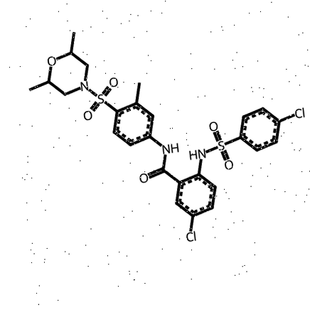 Cc1cc(NC(=O)c2cc(Cl)ccc2NS(=O)(=O)c2ccc(Cl)cc2)ccc1S(=O)(=O)N1CC(C)OC(C)C1